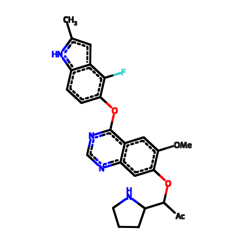 COc1cc2c(Oc3ccc4[nH]c(C)cc4c3F)ncnc2cc1OC(C(C)=O)C1CCCN1